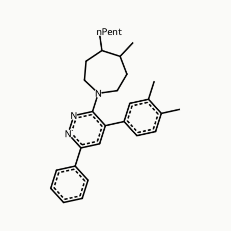 CCCCCC1CCN(c2nnc(-c3ccccc3)cc2-c2ccc(C)c(C)c2)CCC1C